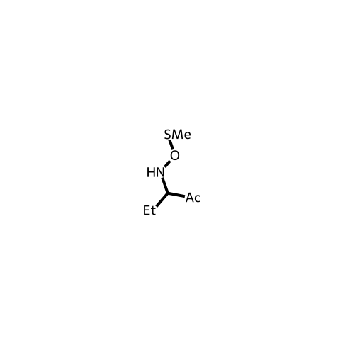 CCC(NOSC)C(C)=O